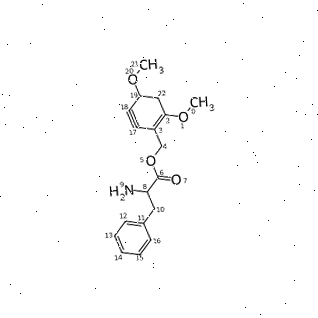 COC1=C(COC(=O)C(N)Cc2ccccc2)C#CC(OC)C1